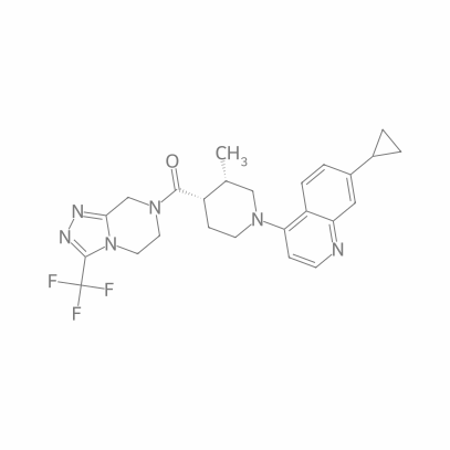 C[C@@H]1CN(c2ccnc3cc(C4CC4)ccc23)CC[C@@H]1C(=O)N1CCn2c(nnc2C(F)(F)F)C1